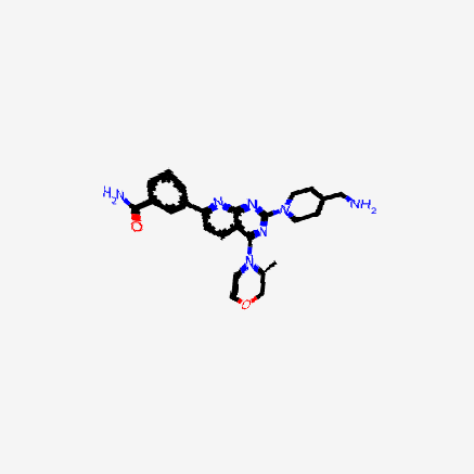 C[C@H]1COCCN1c1nc(N2CCC(CN)CC2)nc2nc(-c3cccc(C(N)=O)c3)ccc12